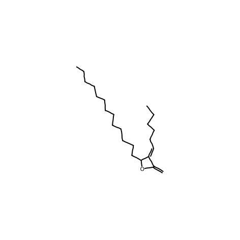 C=C1OC(CCCCCCCCCCCCC)/C1=C\CCCCC